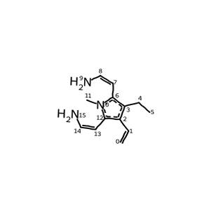 C=Cc1c(CC)c(/C=C\N)n(C)c1/C=C\N